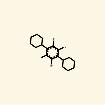 Fc1c(Br)c(C2CCCCC2)c(Br)c(F)c1C1CCCCC1